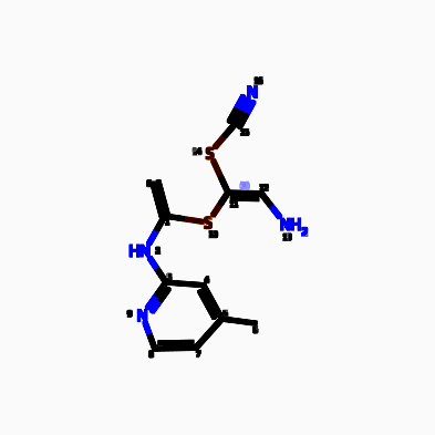 C=C(Nc1cc(C)ccn1)S/C(=C\N)SC#N